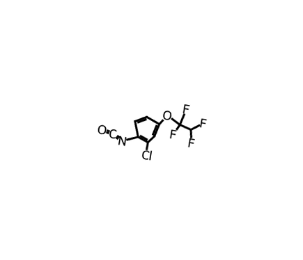 O=C=Nc1ccc(OC(F)(F)C(F)F)cc1Cl